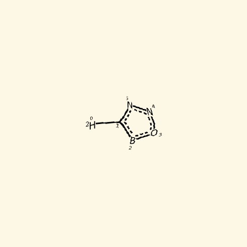 [2H]c1bonn1